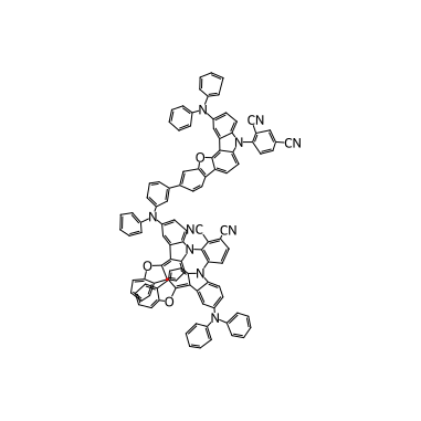 N#Cc1ccc(-n2c3ccc(N(c4ccccc4)c4ccccc4)cc3c3c4oc5cc(-c6cccc(N(c7ccccc7)c7ccc8c(c7)c7c9oc%10ccccc%10c9ccc7n8-c7c(-n8c9ccc(N(c%10ccccc%10)c%10ccccc%10)cc9c9c%10oc%11ccccc%11c%10ccc98)ccc(C#N)c7C#N)c6)ccc5c4ccc32)c(C#N)c1